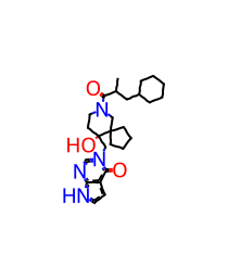 CC(CC1CCCCC1)C(=O)N1CCC(O)(Cn2cnc3[nH]ccc3c2=O)C2(CCCC2)C1